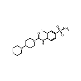 NS(=O)(=O)c1ccc(NC(=O)N2CCC(N3CCOCC3)CC2)c(Cl)c1